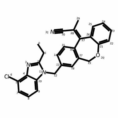 CCc1nc2c(Cl)cccc2n1Cc1ccc2c(c1)COc1ccccc1C2=C(C)C#N